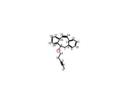 CC#CCCOC1Cc2ccccc2C#Cc2ccccc21